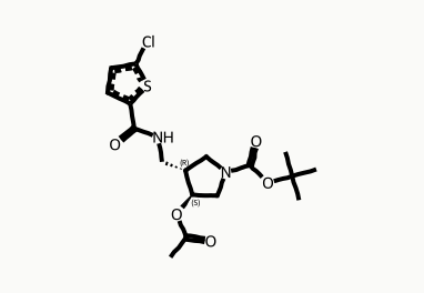 CC(=O)O[C@@H]1CN(C(=O)OC(C)(C)C)C[C@H]1CNC(=O)c1ccc(Cl)s1